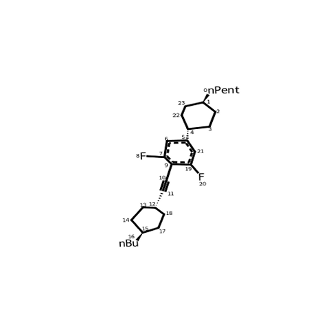 CCCCC[C@H]1CC[C@H](c2cc(F)c(C#C[C@H]3CC[C@H](CCCC)CC3)c(F)c2)CC1